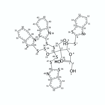 O=C(CO)OC(SSc1nc2ccccc2s1)C(CO)(CO)C(OSSc1nc2ccccc2s1)(SSc1nc2ccccc2s1)SSc1nc2ccccc2s1